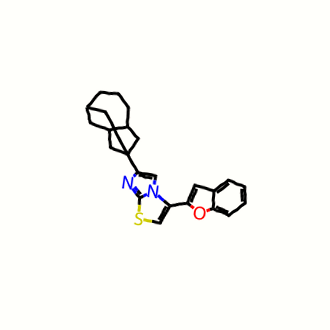 c1ccc2oc(-c3csc4nc(C56CC7CCCC(C5)C(C7)C6)cn34)cc2c1